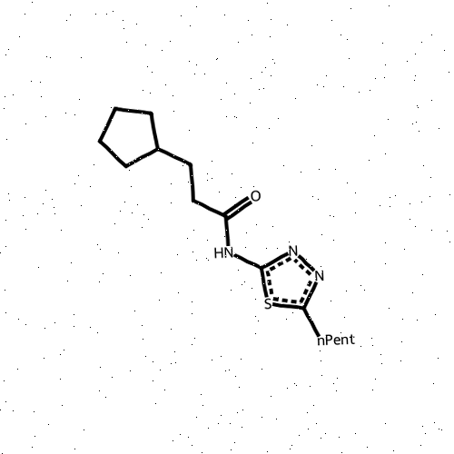 CCCCCc1nnc(NC(=O)CCC2CCCC2)s1